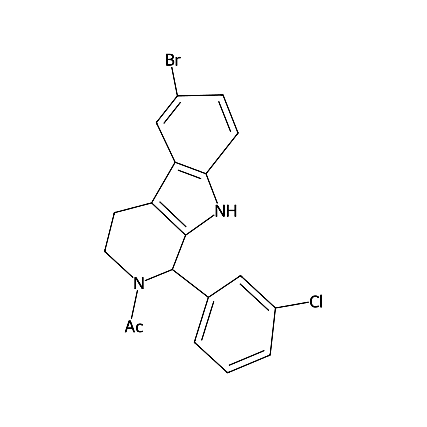 CC(=O)N1CCc2c([nH]c3ccc(Br)cc23)C1c1cccc(Cl)c1